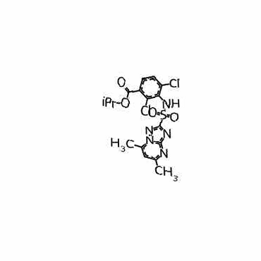 Cc1cc(C)n2nc(S(=O)(=O)Nc3c(Cl)ccc(C(=O)OC(C)C)c3Cl)nc2n1